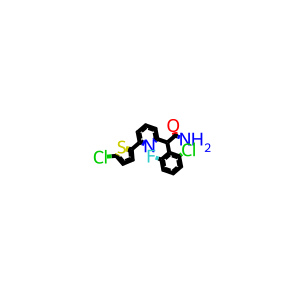 NC(=O)C(c1cccc(-c2ccc(Cl)s2)n1)c1c(F)cccc1Cl